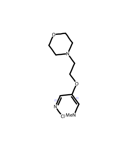 CN/C=C(\C=N/Cl)OCCN1CCOCC1